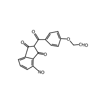 O=CCOc1ccc(C(=O)C2C(=O)c3cccc(N=O)c3C2=O)cc1